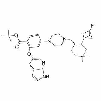 CC1(C)CCC(CN2CCN(c3ccc(C(=O)OC(C)(C)C)c(Oc4cnc5[nH]ccc5c4)c3)CC2)=C(C23CC(F)(C2)C3)C1